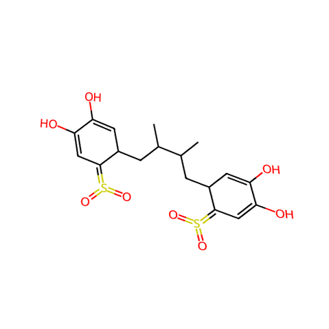 CC(CC1C=C(O)C(O)=CC1=S(=O)=O)C(C)CC1C=C(O)C(O)=CC1=S(=O)=O